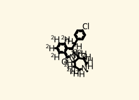 [2H]c1c([2H])c([2H])c2c(=O)n(C3([2H])C([2H])([2H])C([2H])([2H])N(C)C([2H])([2H])C([2H])([2H])C3([2H])[2H])nc(C([2H])([2H])c3ccc(Cl)cc3)c2c1[2H]